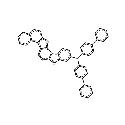 c1ccc(-c2ccc(N(c3ccc(-c4ccccc4)cc3)c3ccc4c(c3)oc3ccc5c(sc6ccc7ccccc7c65)c34)cc2)cc1